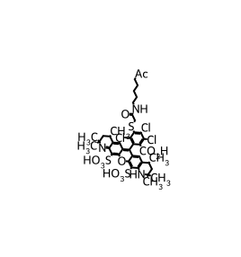 CC(=O)CCCCCNC(=O)CSc1c(Cl)c(Cl)c(C(=O)O)c(C2=c3cc4c(c(S(=O)(=O)O)c3Oc3c2cc2c(c3S(=O)(=O)O)NC(C)(C)CC2C)=NC(C)(C)CC4C)c1Cl